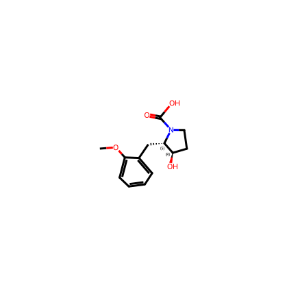 COc1ccccc1C[C@H]1[C@H](O)CCN1C(=O)O